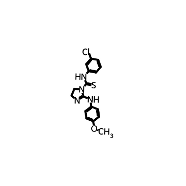 COc1ccc(NC2=NCCN2C(=S)Nc2cccc(Cl)c2)cc1